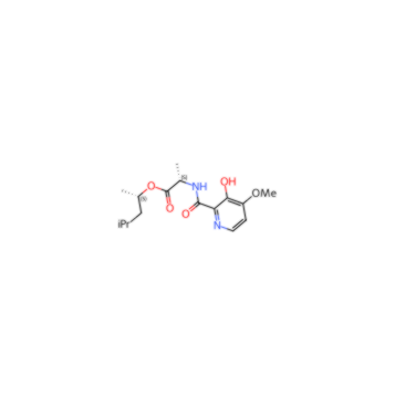 COc1ccnc(C(=O)N[C@@H](C)C(=O)O[C@@H](C)CC(C)C)c1O